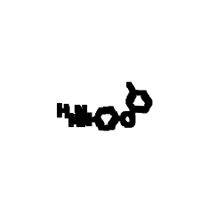 Cc1cccc(Oc2ccc(NN)cc2)c1